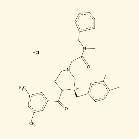 Cc1ccc(C[C@@H]2CN(CC(=O)N(C)Cc3ccccc3)CCN2C(=O)c2cc(C(F)(F)F)cc(C(F)(F)F)c2)cc1C.Cl